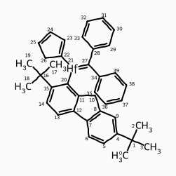 CC(C)(C)c1ccc2c(c1)Cc1c-2ccc(C(C)(C)C)[c]1[Hf]([C]1=CC=CC1)=[C](c1ccccc1)c1ccccc1